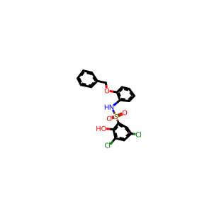 O=S(=O)(Nc1ccccc1OCc1ccccc1)c1cc(Cl)cc(Cl)c1O